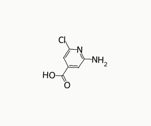 Nc1cc(C(=O)O)cc(Cl)n1